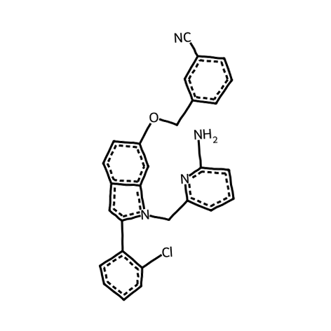 N#Cc1cccc(COc2ccc3cc(-c4ccccc4Cl)n(Cc4cccc(N)n4)c3c2)c1